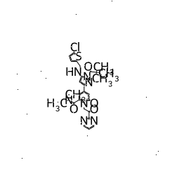 CN(C)C(=O)c1cc(-c2cc(NCc3ccc(Cl)s3)n(C(=O)C(C)(C)C)n2)cc(=O)n1CC(=O)c1ncccn1